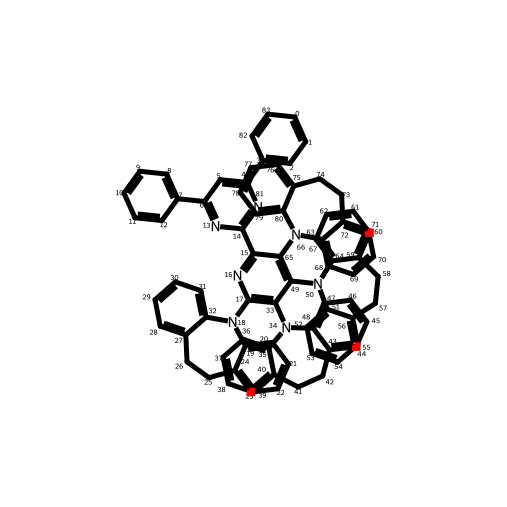 c1ccc(-c2cc(-c3ccccc3)nc(-c3nc(N4c5ccccc5CCc5ccccc54)c(N4c5ccccc5CCc5ccccc54)c(N4c5ccccc5CCc5ccccc54)c3N3c4ccccc4CCc4ccccc43)n2)cc1